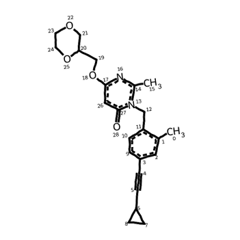 Cc1cc(C#CC2CC2)ccc1Cn1c(C)nc(OCC2COCCO2)cc1=O